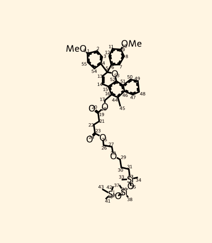 COc1ccc(C2(c3ccc(OC)cc3)C=Cc3c(COC(=O)CCC(=O)OCCOCCC[Si](C)(C)O[Si](C)(C)O[Si](C)(C)C)c(C)c4ccccc4c3O2)cc1